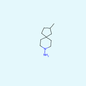 CC1CCC2(CCN(N)CC2)C1